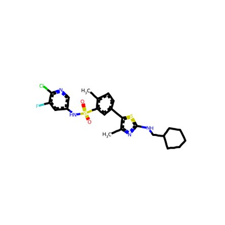 Cc1ccc(-c2sc(NCC3CCCCC3)nc2C)cc1S(=O)(=O)Nc1cnc(Cl)c(F)c1